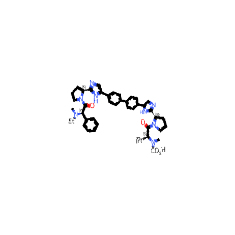 CCN(C)[C@@H](C(=O)N1CCC[C@H]1c1ncc(-c2ccc(-c3ccc(-c4cnc([C@@H]5CCCN5C(=O)[C@H](C(C)C)N(C)C(=O)O)[nH]4)cc3)cc2)[nH]1)c1ccccc1